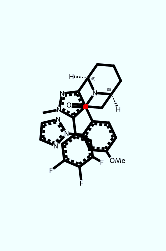 COc1ccc(C(=O)N2[C@H]3CCC[C@@H]2c2nn(C)c(-c4cc(F)c(F)c(F)c4)c2C3)c(-n2nccn2)c1